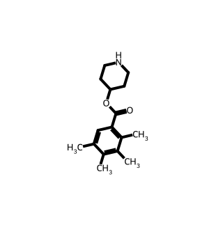 Cc1cc(C(=O)OC2CCNCC2)c(C)c(C)c1C